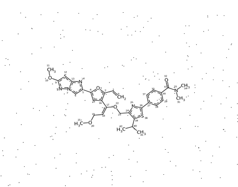 C=Cc1oc(-c2cn3nc(OC)sc3n2)cc1/C(=C\COC)OCc1nc(-c2ccc(C(=O)N(C)C)cc2)sc1C(C)C